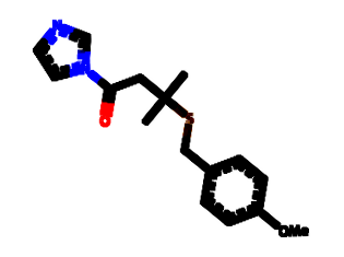 COc1ccc(CSC(C)(C)CC(=O)n2ccnc2)cc1